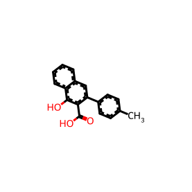 Cc1ccc(-c2cc3ccccc3c(O)c2C(=O)O)cc1